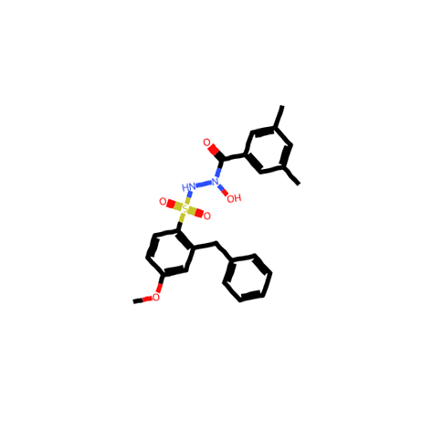 COc1ccc(S(=O)(=O)NN(O)C(=O)c2cc(C)cc(C)c2)c(Cc2ccccc2)c1